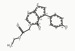 CCOC(=O)Cn1cnc2scc(-c3ccc(Cl)cc3)c2c1=O